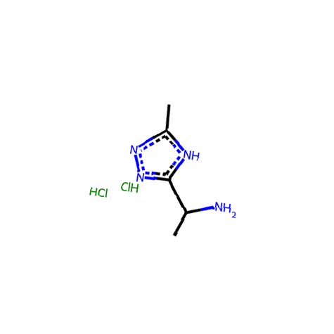 Cc1nnc(C(C)N)[nH]1.Cl.Cl